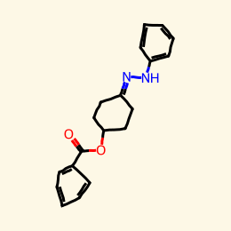 O=C(OC1CCC(=NNc2ccccc2)CC1)c1ccccc1